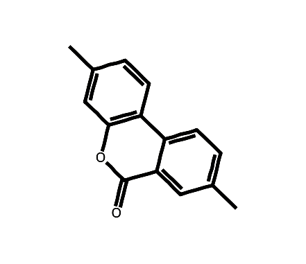 Cc1ccc2c(c1)oc(=O)c1cc(C)ccc12